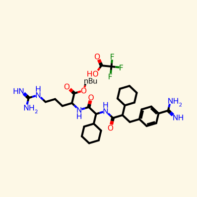 CCCCOC(=O)C(CCCNC(=N)N)NC(=O)C(NC(=O)C(Cc1ccc(C(=N)N)cc1)C1CCCCC1)C1CCCCC1.O=C(O)C(F)(F)F